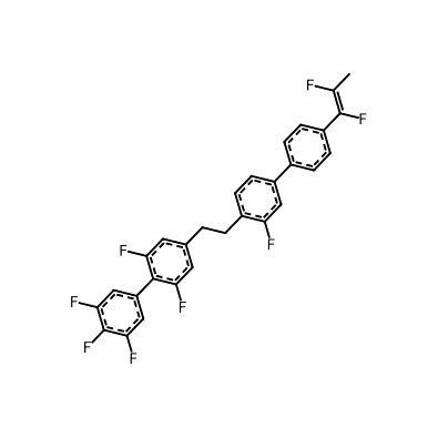 C/C(F)=C(\F)c1ccc(-c2ccc(CCc3cc(F)c(-c4cc(F)c(F)c(F)c4)c(F)c3)c(F)c2)cc1